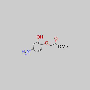 COC(=O)COc1ccc(N)cc1O